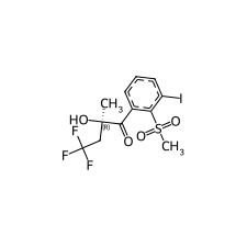 C[C@@](O)(CC(F)(F)F)C(=O)c1cccc(I)c1S(C)(=O)=O